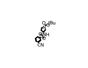 CC(C)(C)OC(=O)N1CC[C@@H](NS(=O)(=O)c2cccc(C#N)c2)C1